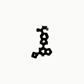 NC(=O)c1ccc2nc(-c3nc(N4CCC4)nc4c3CCC4)sc2c1